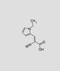 CCn1cccc1/C=C(\C#N)C(=O)O